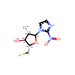 O=[N+]([O-])c1nccn1C1O[C@H](CF)[C@@H](O)[C@@H]1Cl